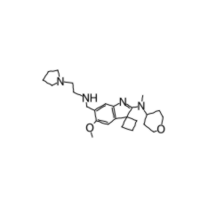 COc1cc2c(cc1CNCCN1CCCC1)N=C(N(C)C1CCOCC1)C21CCC1